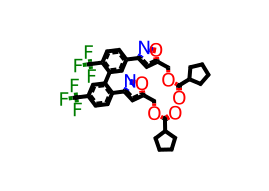 O=C(OCc1cc(-c2ccc(C(F)(F)F)c(-c3cc(C(F)(F)F)ccc3-c3cc(COC(=O)C4CCCC4)on3)c2)no1)C1CCCC1